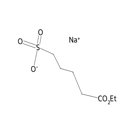 CCOC(=O)CCCCS(=O)(=O)[O-].[Na+]